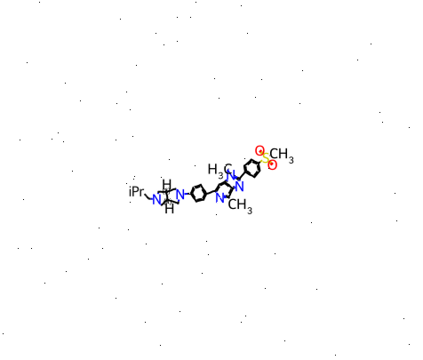 Cc1nc(-c2ccc(N3C[C@H]4CN(CC(C)C)C[C@H]4C3)cc2)cc2c1nc(-c1ccc(S(C)(=O)=O)cc1)n2C